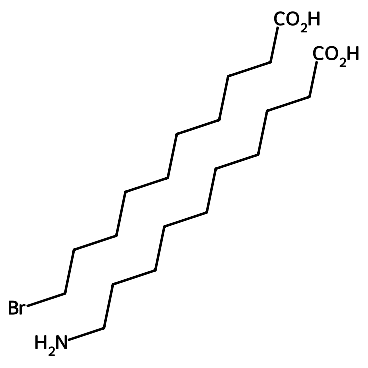 NCCCCCCCCCC(=O)O.O=C(O)CCCCCCCCCBr